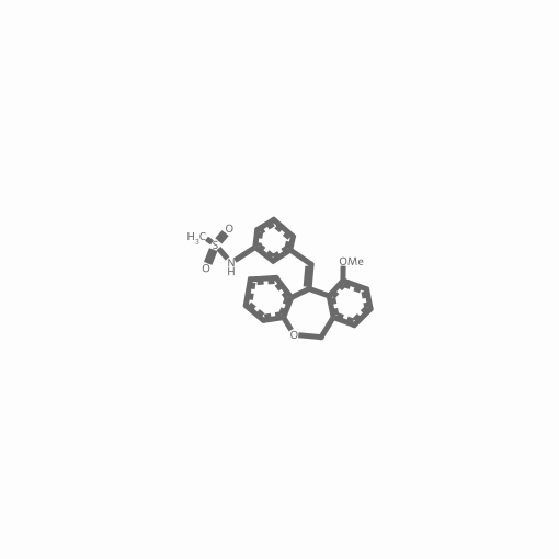 COc1cccc2c1/C(=C/c1cccc(NS(C)(=O)=O)c1)c1ccccc1OC2